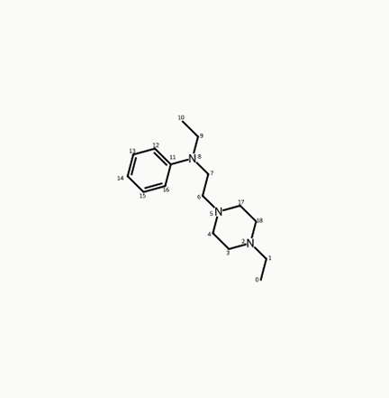 CCN1CCN(CCN(CC)c2ccccc2)CC1